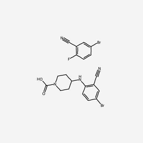 N#Cc1cc(Br)ccc1F.N#Cc1cc(Br)ccc1NC1CCN(C(=O)O)CC1